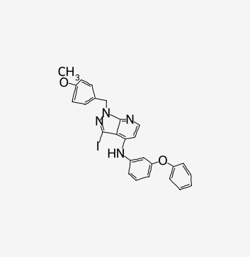 COc1ccc(Cn2nc(I)c3c(Nc4cccc(Oc5ccccc5)c4)ccnc32)cc1